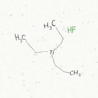 C[CH2][Ti]([CH2]C)[CH2]C.F